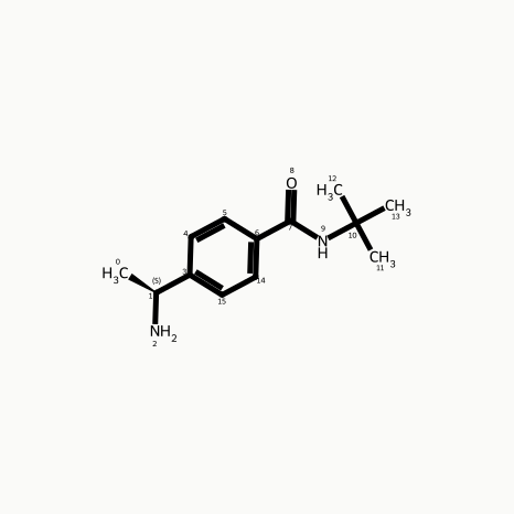 C[C@H](N)c1ccc(C(=O)NC(C)(C)C)cc1